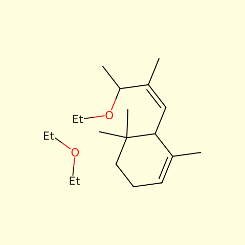 CCOC(C)C(C)=CC1C(C)=CCCC1(C)C.CCOCC